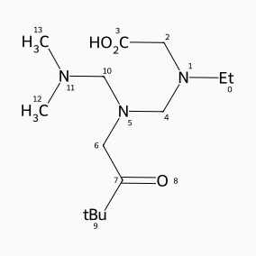 CCN(CC(=O)O)CN(CC(=O)C(C)(C)C)CN(C)C